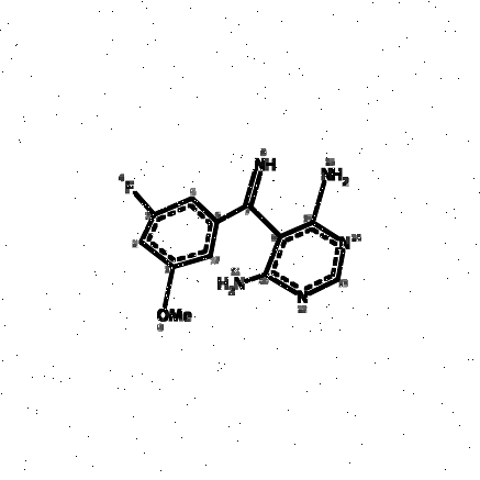 COc1cc(F)cc(C(=N)c2c(N)ncnc2N)c1